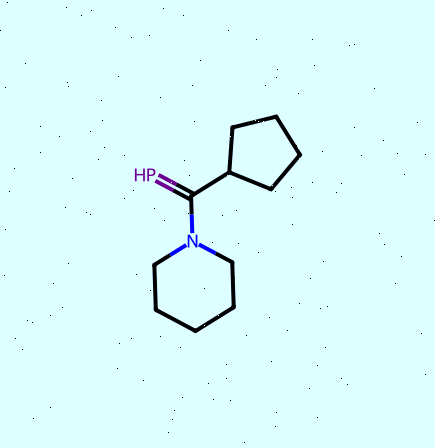 P=C(C1CCCC1)N1CCCCC1